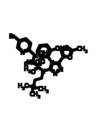 COc1cccc(OC)c1-n1c(-c2ccc(C)o2)nnc1N(CC[Si](C)(C)C)S(=O)(=O)[C@@H](C)[C@@H](O)c1ccc(Br)cn1